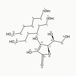 CCCCCCCCCCCCCCCC(=O)O.CCCCCCCCCCCCCCCC(=O)O.O=C1O[C@H]([C@@H](O)CO)C(O)=C1O